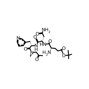 CC(=O)CN(C)C(=O)[C@H](Cc1cccnc1)NC(=O)[C@H](CC(N)=O)NC(=O)[C@@H](N)CCC(=O)OC(C)(C)C